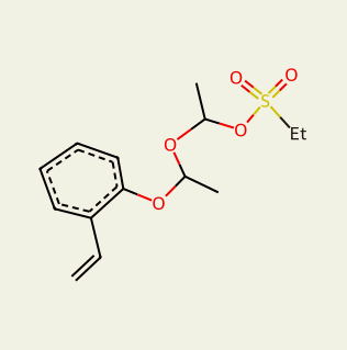 C=Cc1ccccc1OC(C)OC(C)OS(=O)(=O)CC